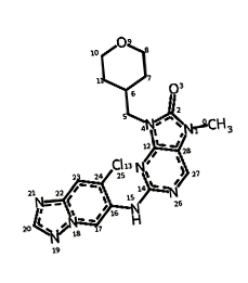 Cn1c(=O)n(CC2CCOCC2)c2nc(Nc3cn4ncnc4cc3Cl)ncc21